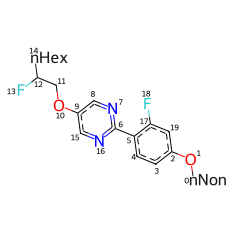 CCCCCCCCCOc1ccc(-c2ncc(OCC(F)CCCCCC)cn2)c(F)c1